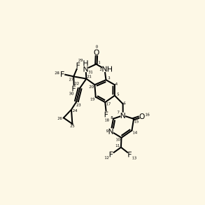 O=C1Nc2cc(Cn3cnc(C(F)F)cc3=O)c(F)cc2C(C#CC2CC2)(C(F)(F)F)N1